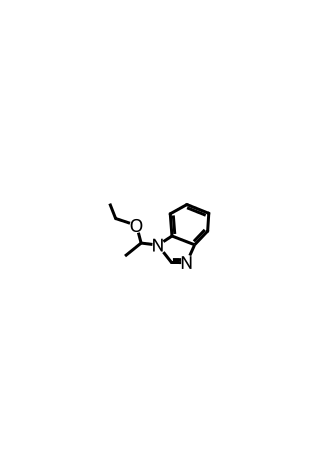 CCOC(C)n1cnc2ccccc21